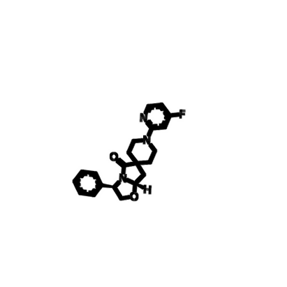 O=C1N2[C@H](CC13CCN(c1cc(F)ccn1)CC3)OC[C@H]2c1ccccc1